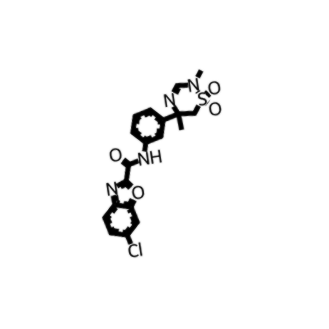 CN1C=NC(C)(c2cccc(NC(=O)c3nc4ccc(Cl)cc4o3)c2)CS1(=O)=O